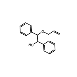 C=CCOC(c1ccccc1)C(O)c1ccccc1